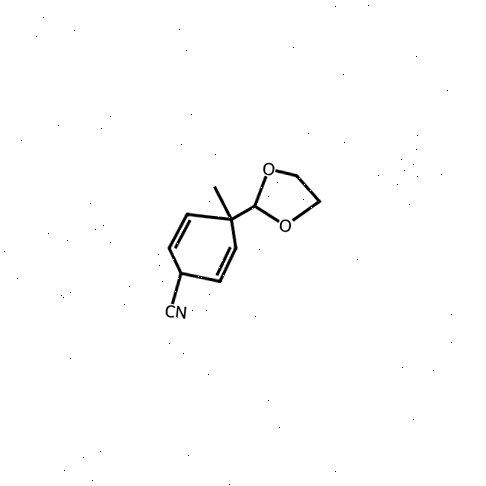 CC1(C2OCCO2)C=CC(C#N)C=C1